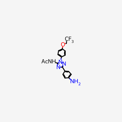 CC(=O)Nc1nc(-c2ccc(N)cc2)nn1-c1ccc(OCC(F)(F)F)cc1